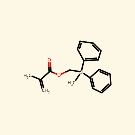 C=C(C)C(=O)OC[Si](C)(c1ccccc1)c1ccccc1